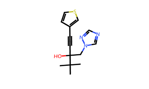 CC(C)(C)C(O)(C#Cc1ccsc1)Cn1cncn1